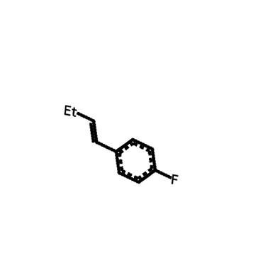 [CH2]CC=Cc1ccc(F)cc1